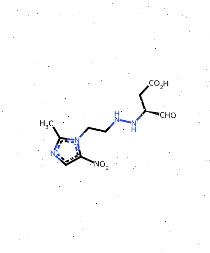 Cc1ncc([N+](=O)[O-])n1CCNN[C@H](C=O)CC(=O)O